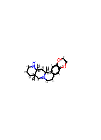 c1c2c(cc3c1OCCO3)[C@H]1C[C@H]3NCCC[C@H]3CN1CC2